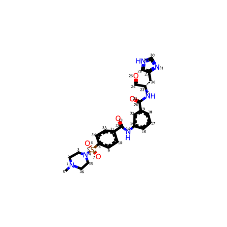 CN1CCN(S(=O)(=O)c2ccc(C(=O)Nc3cccc(C(=O)N[C@H](C=O)Cc4c[nH]cn4)c3)cc2)CC1